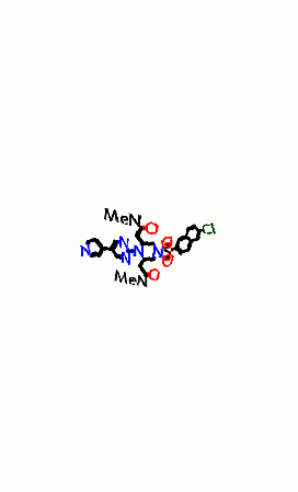 CNC(=O)CC1CN(S(=O)(=O)c2ccc3cc(Cl)ccc3c2)CC(CC(=O)NC)N1c1ncc(-c2ccncc2)cn1